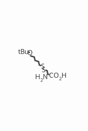 CC(C)(C)OCCCCCSSCC(N)C(=O)O